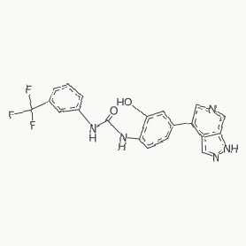 O=C(Nc1cccc(C(F)(F)F)c1)Nc1ccc(-c2cncc3[nH]ncc23)cc1O